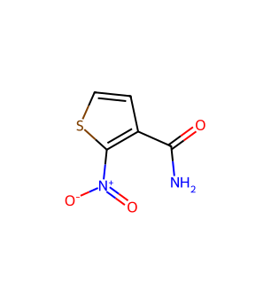 NC(=O)c1ccsc1[N+](=O)[O-]